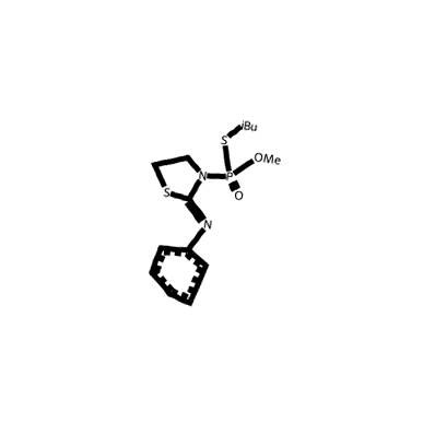 CCC(C)SP(=O)(OC)N1CCSC1=Nc1ccccc1